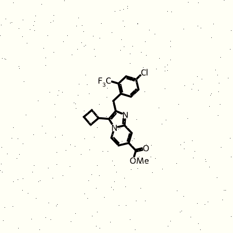 COC(=O)c1ccn2c(C3CCC3)c(Cc3ccc(Cl)cc3C(F)(F)F)nc2c1